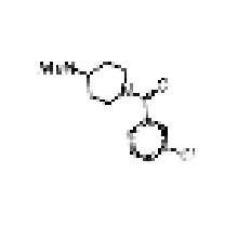 CNC1CCN(C(=O)c2cccc(Cl)c2)CC1